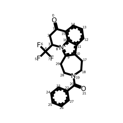 O=C1CC(C(F)(F)F)n2c3c(c4cccc1c42)CCN(C(=O)c1ccccc1)CC3